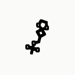 CS(=O)(=O)OCC1CC2(C1)OCCO2